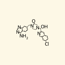 Nc1ncnc2cc(CN3CCN(C(O)c4cc5ccc(Cl)cc5cn4)CC3=O)ccc12